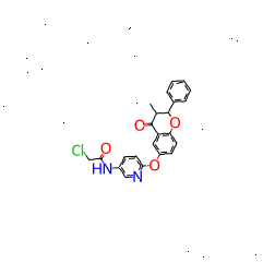 CC1C(=O)c2cc(Oc3ccc(NC(=O)CCl)cn3)ccc2OC1c1ccccc1